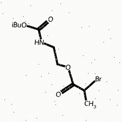 CC(C)COC(=O)NCCOC(=O)C(C)Br